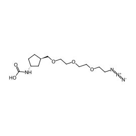 [N-]=[N+]=NCCOCCOCCOC[C@@H]1CC[C@@H](NC(=O)O)C1